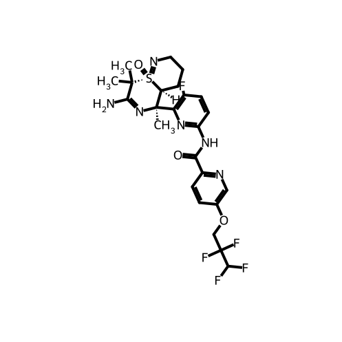 CC1(C)C(N)=N[C@](C)(c2nc(NC(=O)c3ccc(OCC(F)(F)C(F)F)cn3)ccc2F)[C@@H]2CCCN=[S@]21=O